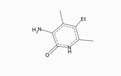 CCc1c(C)[nH]c(=O)c(N)c1C